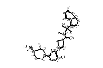 CN(C(=O)C1CN(c2nc(N3CCCC(N)CC3)ncc2Cl)C1)C(C)(C)c1cnc2ccccn12